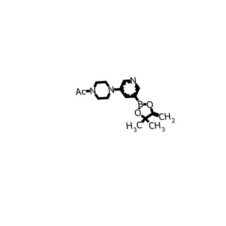 C=C1OB(c2cncc(N3CCN(C(C)=O)CC3)c2)OC1(C)C